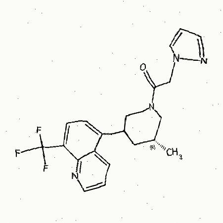 C[C@@H]1CC(c2ccc(C(F)(F)F)c3ncccc23)CN(C(=O)Cn2cccn2)C1